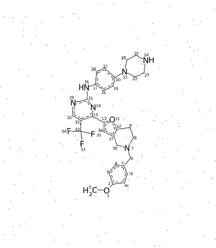 COc1ccc(CN2CCc3oc(-c4nc(Nc5ccc(N6CCNCC6)cc5)ncc4C(F)(F)F)cc3C2)cc1